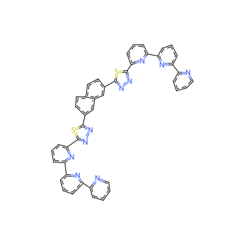 c1ccc(-c2cccc(-c3cccc(-c4nnc(-c5ccc6ccc(-c7nnc(-c8cccc(-c9cccc(-c%10ccccn%10)n9)n8)s7)cc6c5)s4)n3)n2)nc1